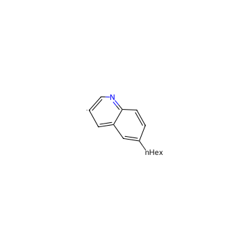 CCCCCCc1ccc2nc[c]cc2c1